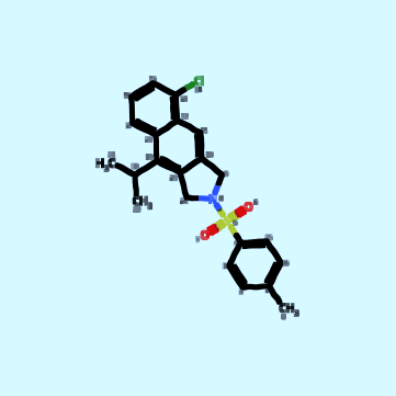 Cc1ccc(S(=O)(=O)N2Cc3cc4c(Cl)cccc4c(C(C)C)c3C2)cc1